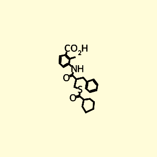 Cc1c(NC(=O)C(CSC(=O)C2CCCCC2)Cc2ccccc2)cccc1C(=O)O